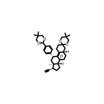 C#C[C@@H]1CC[C@H]2[C@@H]3CC[C@H]4CC5(CCC4=C3[C@@H](c3ccc(C4OCC(C)(C)CO4)cc3)C[C@]12C)OCC(C)(C)CO5